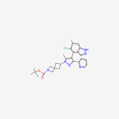 Cc1cc2[nH]ncc2c(-c2c(-c3ccccn3)nn(C3CC4(C3)CN(C(=O)OC(C)(C)C)C4)c2C)c1Cl